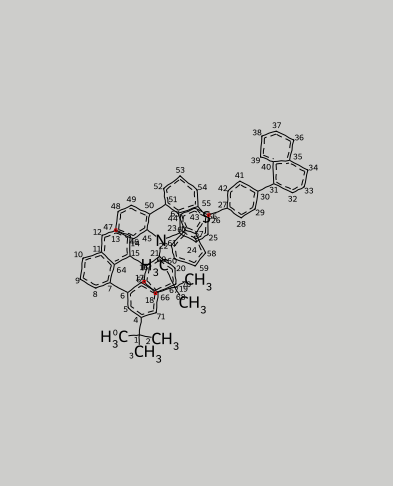 CC(C)(C)c1cc(-c2cccc3cccc(-c4ccccc4N(c4ccc(-c5ccc(-c6cccc7ccccc67)cc5)cc4)c4ccccc4-c4cccc5sc6ccccc6c45)c23)cc(C(C)(C)C)c1